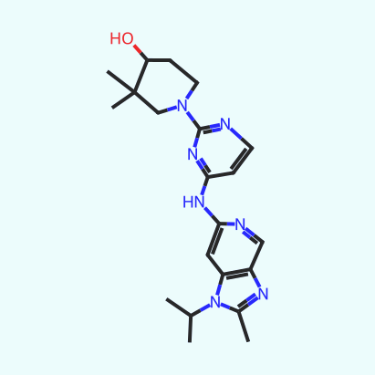 Cc1nc2cnc(Nc3ccnc(N4CCC(O)C(C)(C)C4)n3)cc2n1C(C)C